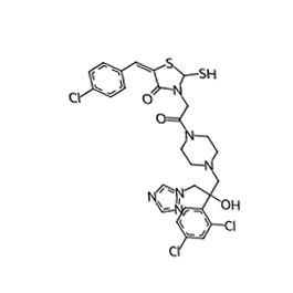 O=C(CN1C(=O)C(=Cc2ccc(Cl)cc2)SC1S)N1CCN(CC(O)(Cn2cncn2)c2ccc(Cl)cc2Cl)CC1